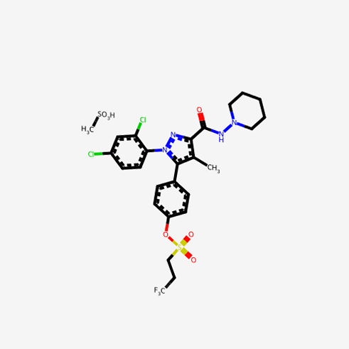 CS(=O)(=O)O.Cc1c(C(=O)NN2CCCCC2)nn(-c2ccc(Cl)cc2Cl)c1-c1ccc(OS(=O)(=O)CCC(F)(F)F)cc1